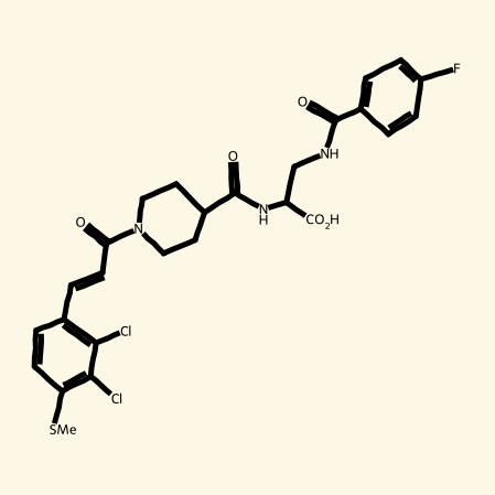 CSc1ccc(C=CC(=O)N2CCC(C(=O)NC(CNC(=O)c3ccc(F)cc3)C(=O)O)CC2)c(Cl)c1Cl